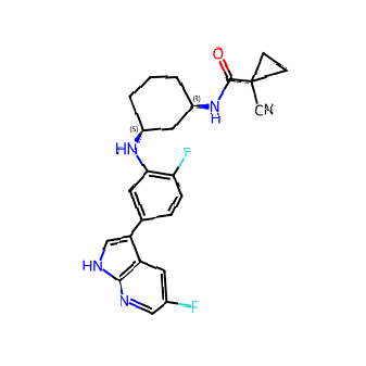 N#CC1(C(=O)N[C@@H]2CCC[C@H](Nc3cc(-c4c[nH]c5ncc(F)cc45)ccc3F)C2)CC1